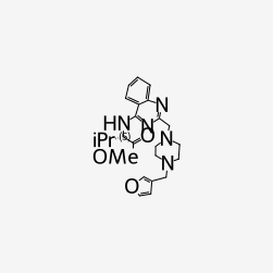 COC(=O)[C@@H](Nc1nc(CN2CCN(Cc3ccoc3)CC2)nc2ccccc12)C(C)C